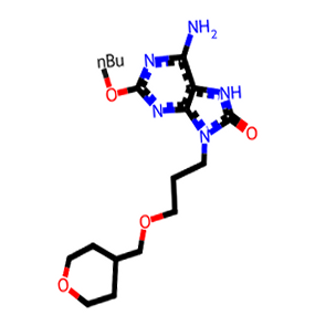 CCCCOc1nc(N)c2[nH]c(=O)n(CCCOCC3CCOCC3)c2n1